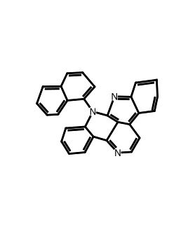 c1ccc2c(c1)-c1nccc3c1c(nc1ccccc13)N2c1cccc2ccccc12